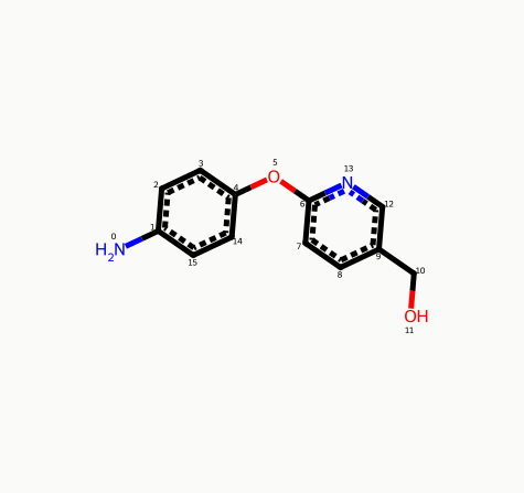 Nc1ccc(Oc2ccc(CO)cn2)cc1